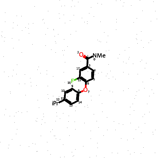 CNC(=O)c1ccc(Oc2ccc(C(C)C)cc2)c(F)c1